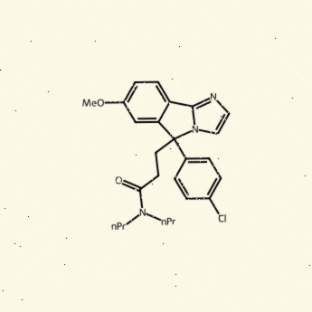 CCCN(CCC)C(=O)CCC1(c2ccc(Cl)cc2)c2cc(OC)ccc2-c2nccn21